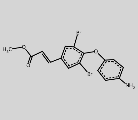 COC(=O)C=Cc1cc(Br)c(Oc2ccc(N)cc2)c(Br)c1